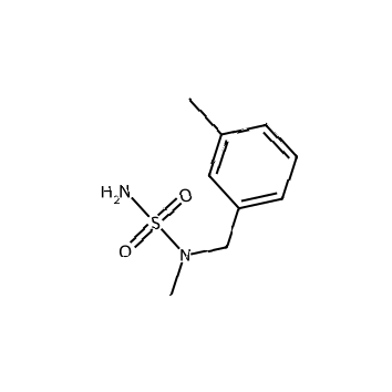 Cc1cccc(CN(C)S(N)(=O)=O)c1